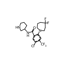 O=C(NC1CCCNC1)c1cc(Cl)c(C(F)(F)F)cc1N1CCCC(F)(F)CC1